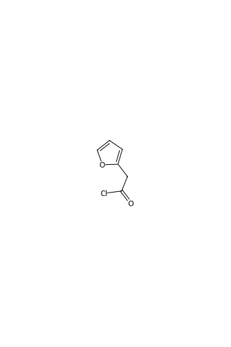 O=C(Cl)Cc1ccco1